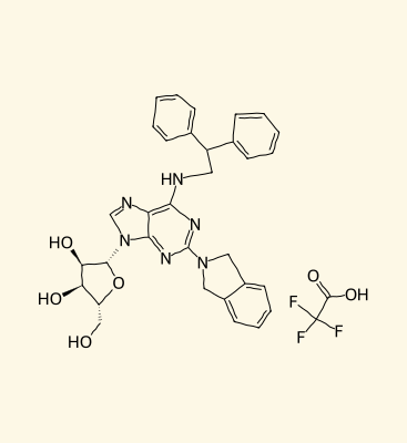 O=C(O)C(F)(F)F.OC[C@H]1O[C@@H](n2cnc3c(NCC(c4ccccc4)c4ccccc4)nc(N4Cc5ccccc5C4)nc32)[C@H](O)[C@@H]1O